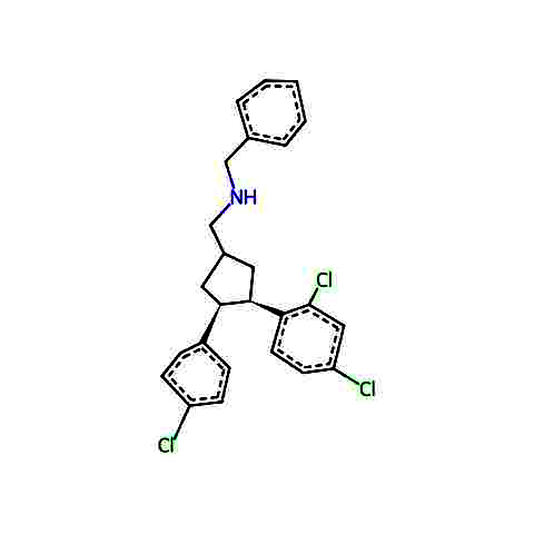 Clc1ccc([C@H]2CC(CNCc3ccccc3)C[C@H]2c2ccc(Cl)cc2Cl)cc1